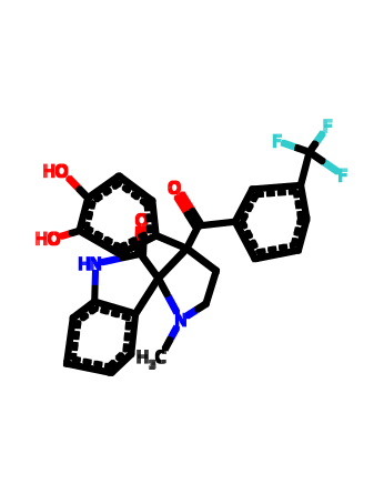 CN1CCC(C(=O)c2cccc(C(F)(F)F)c2)(c2ccc(O)c(O)c2)C12C(=O)Nc1ccccc12